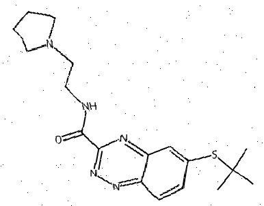 CC(C)(C)Sc1ccc2nnc(C(=O)NCCN3CCCC3)nc2c1